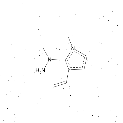 C=Cc1ccn(C)c1N(C)N